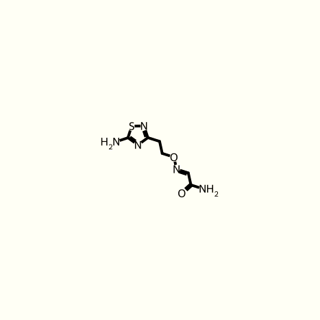 NC(=O)C=NOCCc1nsc(N)n1